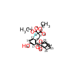 CCOC(=O)C(F)(CCOC1(c2cccc(O)c2)OOC12C1CC3CC(C1)CC2C3)C(=O)OCC